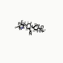 CC/N=C\C(C)(N1CCN(c2ccc(C(=O)NC)nc2)C(C#N)C1)C(F)(F)F